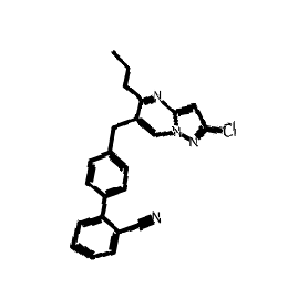 CCCc1nc2cc(Cl)nn2cc1Cc1ccc(-c2ccccc2C#N)cc1